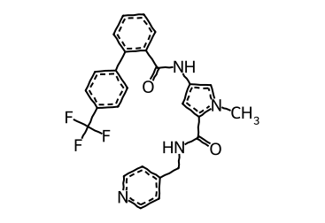 Cn1cc(NC(=O)c2ccccc2-c2ccc(C(F)(F)F)cc2)cc1C(=O)NCc1ccncc1